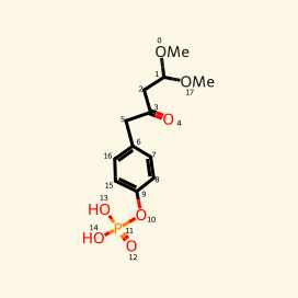 COC(CC(=O)Cc1ccc(OP(=O)(O)O)cc1)OC